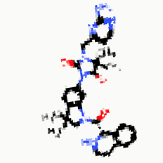 CC1(C)CN(C(=O)[C@H]2NCCc3ccccc32)c2cc(N3C(=O)N(Cc4ccnc(N)n4)C(C)(C)C3=O)ccc21